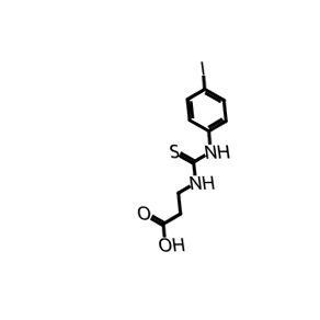 O=C(O)CCNC(=S)Nc1ccc(I)cc1